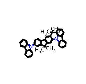 CC1(C)c2cc(-n3c4ccccc4c4ccccc43)ccc2-c2cc3c(cc21)-n1c2ccccc2c2cccc(c21)C3(C)C